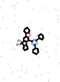 CC(C)C1(C(C)C)c2ccccc2-c2c1cc1c(oc3ccccc31)c2-c1nc(-c2ccccc2)nc(-c2ccccc2)n1